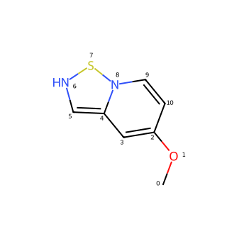 COC1=CC2=CNSN2C=C1